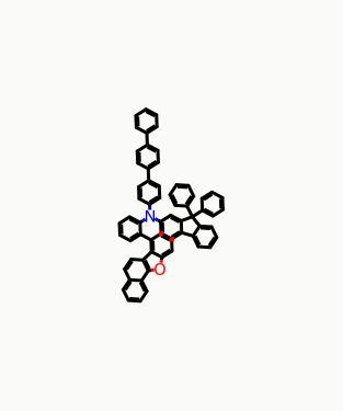 c1ccc(-c2ccc(-c3ccc(N(c4ccc5c(c4)C(c4ccccc4)(c4ccccc4)c4ccccc4-5)c4ccccc4-c4cccc5oc6c7ccccc7ccc6c45)cc3)cc2)cc1